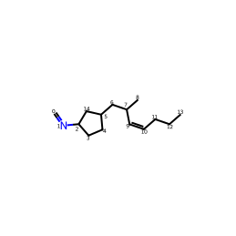 C=NC1CCC(CC(C)/C=C\CCC)C1